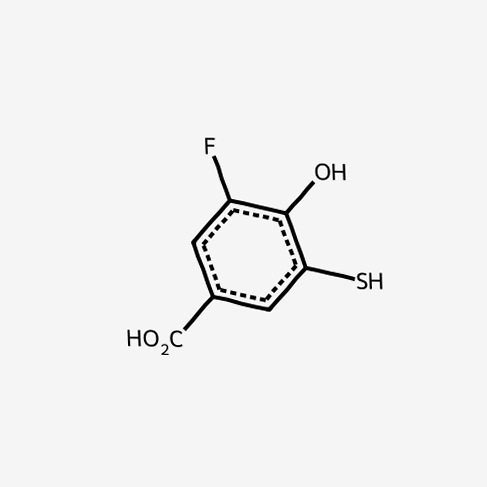 O=C(O)c1cc(F)c(O)c(S)c1